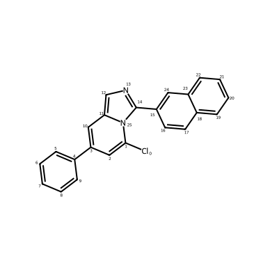 Clc1cc(-c2ccccc2)cc2cnc(-c3ccc4ccccc4c3)n12